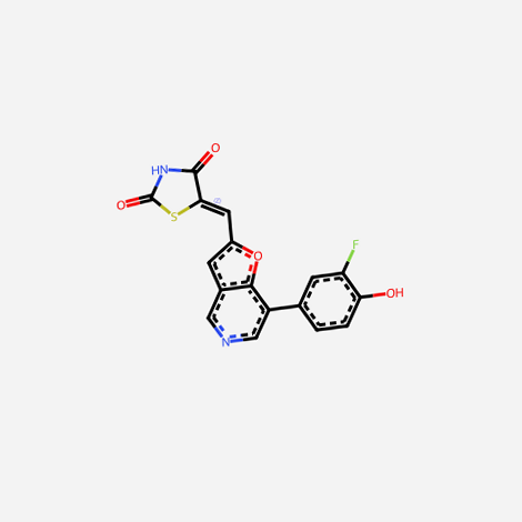 O=C1NC(=O)/C(=C/c2cc3cncc(-c4ccc(O)c(F)c4)c3o2)S1